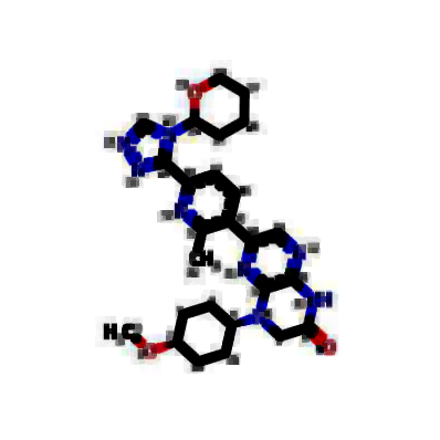 CO[C@H]1CC[C@@H](N2CC(=O)Nc3ncc(-c4ccc(-c5nncn5C5CCCCO5)nc4C)nc32)CC1